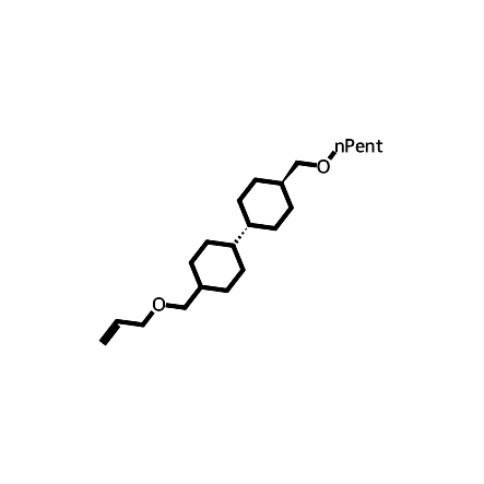 C=CCOCC1CCC([C@H]2CC[C@H](COCCCCC)CC2)CC1